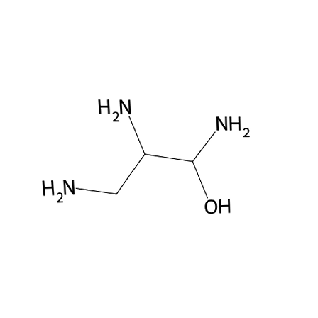 NCC(N)C(N)O